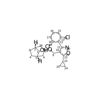 OC1[C@@H]2CC[C@H]1C[C@H](OCc1c(-c3c(Cl)cccc3Cl)noc1C1CC1)C2